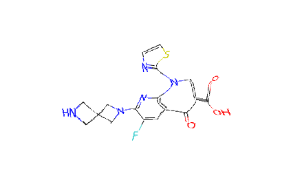 O=C(O)c1cn(-c2nccs2)c2nc(N3CC4(CNC4)C3)c(F)cc2c1=O